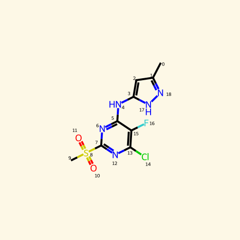 Cc1cc(Nc2nc(S(C)(=O)=O)nc(Cl)c2F)[nH]n1